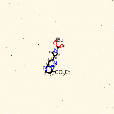 CCOC(=O)c1ccnc2cc(C3CN(C(=O)OC(C)(C)C)C3)nn12